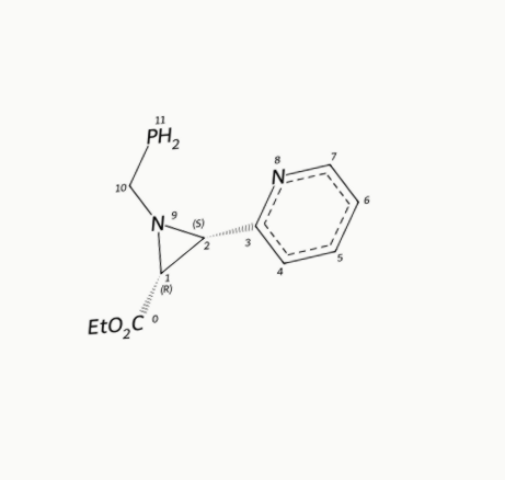 CCOC(=O)[C@H]1[C@@H](c2ccccn2)N1CP